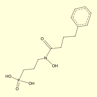 O=C(CCCc1ccccc1)N(O)CCCP(=O)(O)O